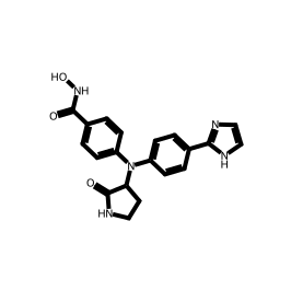 O=C(NO)c1ccc(N(c2ccc(-c3ncc[nH]3)cc2)C2CCNC2=O)cc1